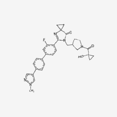 Cn1cc(-c2ccc(-c3ccc(C4=NC5(CC5)C(=O)N4CC4CCN(C(=O)C5(O)CC5)C4)c(F)c3)cc2)cn1